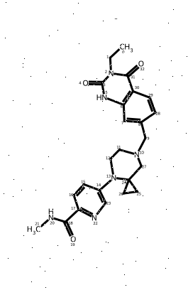 CCn1c(=O)[nH]c2cc(CN3CCN(c4ccc(C(=O)NC)nc4)C4(CC4)C3)ccc2c1=O